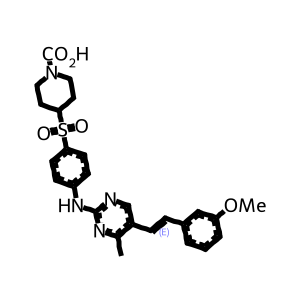 COc1cccc(/C=C/c2cnc(Nc3ccc(S(=O)(=O)C4CCN(C(=O)O)CC4)cc3)nc2C)c1